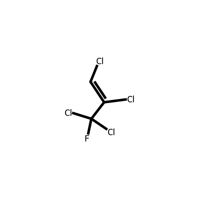 FC(Cl)(Cl)C(Cl)=CCl